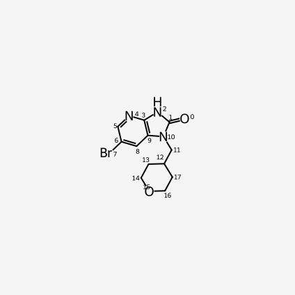 O=c1[nH]c2ncc(Br)cc2n1CC1CCOCC1